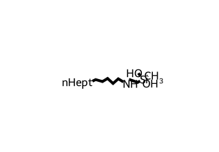 CCCCCCCCCCCCNCC[Si](C)(O)O